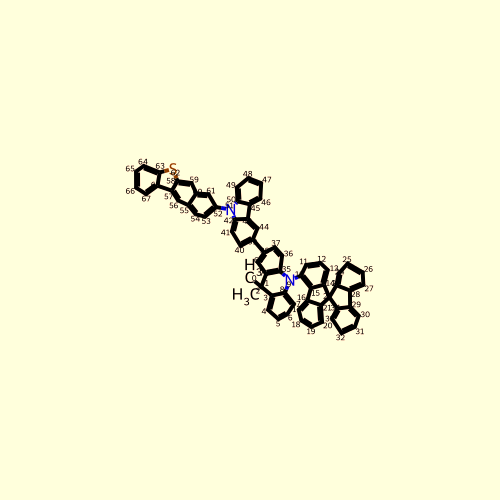 CC1(C)c2ccccc2N(c2cccc3c2-c2ccccc2C32c3ccccc3-c3ccccc32)c2ccc(-c3ccc4c(c3)c3ccccc3n4-c3ccc4cc5c(cc4c3)sc3ccccc35)cc21